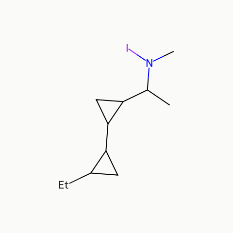 CCC1CC1C1CC1C(C)N(C)I